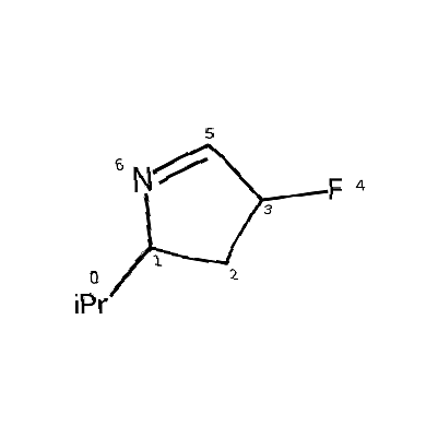 CC(C)C1CC(F)C=N1